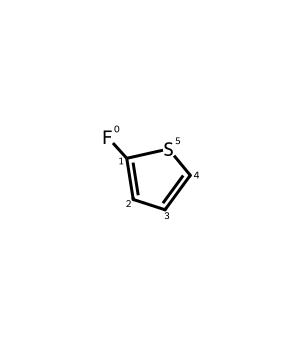 Fc1cccs1